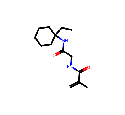 C=C(C)C(=O)NCC(=O)NC1(CC)CCCCC1